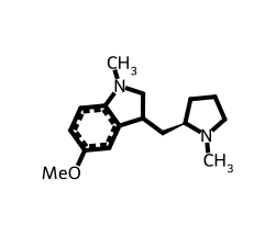 COc1ccc2c(c1)C(C[C@H]1CCCN1C)CN2C